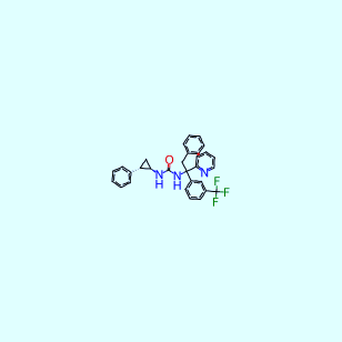 O=C(N[C@@H]1C[C@H]1c1ccccc1)NC(Cc1ccccc1)(c1cccc(C(F)(F)F)c1)c1ccccn1